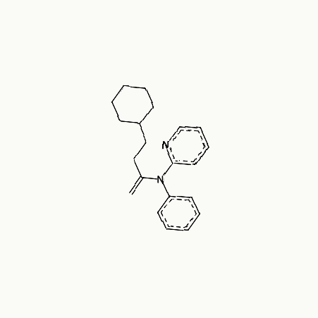 C=C(CCC1CCCCC1)N(c1ccccc1)c1ccccn1